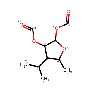 CC(C)C1C(C)OC(OC=O)C1OC=O